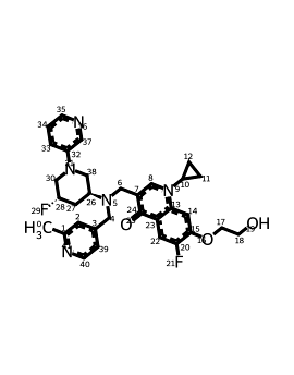 Cc1cc(CN(Cc2cn(C3CC3)c3cc(OCCO)c(F)cc3c2=O)[C@H]2C[C@H](F)CN(c3cccnc3)C2)ccn1